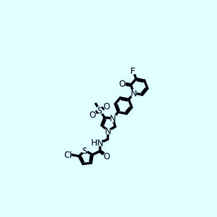 CS(=O)(=O)C1=CN(CNC(=O)c2ccc(Cl)s2)CN1c1ccc(-n2cccc(F)c2=O)cc1